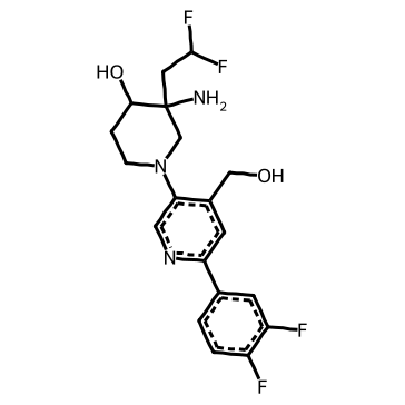 NC1(CC(F)F)CN(c2cnc(-c3ccc(F)c(F)c3)cc2CO)CCC1O